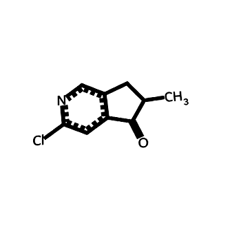 CC1Cc2cnc(Cl)cc2C1=O